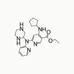 CCOC(=O)c1cnc(N(c2ccccn2)C2CNCCN2)cc1NC1CCCC1